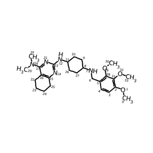 COc1ccc(CNC2CCC(Nc3nc4c(c(N(C)C)n3)CCCC4)CC2)c(OC)c1OC